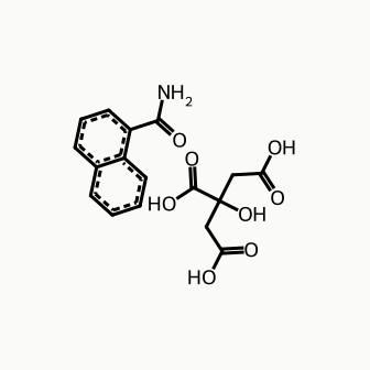 NC(=O)c1cccc2ccccc12.O=C(O)CC(O)(CC(=O)O)C(=O)O